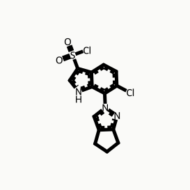 O=S(=O)(Cl)c1c[nH]c2c(-n3cc4c(n3)CCC4)c(Cl)ccc12